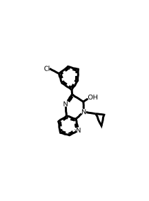 OC1C(c2cccc(Cl)c2)=Nc2cccnc2N1C1CC1